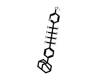 FC(F)(F)c1ccc(C(F)(F)C(F)(F)C(F)(F)C(F)(F)c2ccc(C34CC5CC(CC(C5)C3)C4)cc2)nc1